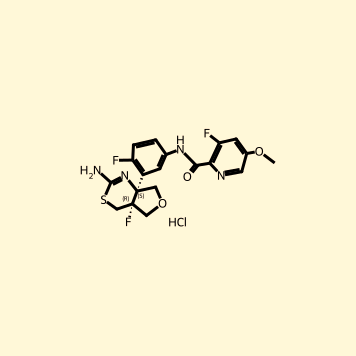 COc1cnc(C(=O)Nc2ccc(F)c([C@]34COC[C@@]3(F)CSC(N)=N4)c2)c(F)c1.Cl